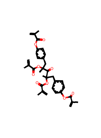 C=C(C)C(=O)Oc1ccc(CC(C)(OC(=O)C(=C)C)C(=O)C(C)(Cc2ccc(OC(=O)C(=C)C)cc2)OC(=O)C(=C)C)cc1